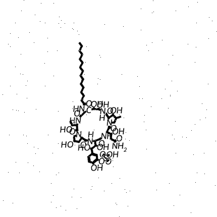 CCCCCCCCCCCCCCCC(=O)NC1CC(O)C(O)NC(=O)C2C(O)C(C)CN2C(=O)C(C(O)CC(N)=O)NC(=O)C(C(O)C(O)c2ccc(O)c(OS(=O)(=O)O)c2)NC(=O)C2CC(O)CN2C(=O)C(C(C)O)NC1=O